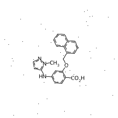 Cn1nccc1Nc1ccc(C(=O)O)c(OCc2cccc3ccccc23)c1